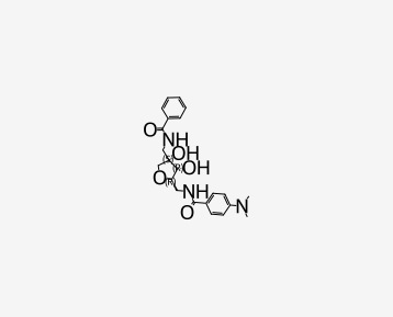 CN(C)c1ccc(C(=O)NC[C@H]2OC[C@@](O)(CNC(=O)c3ccccc3)[C@@H]2O)cc1